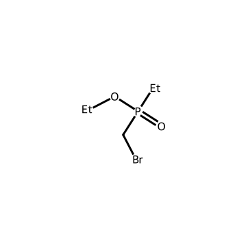 CCOP(=O)(CC)CBr